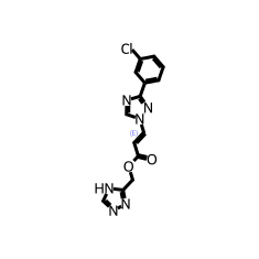 O=C(/C=C/n1cnc(-c2cccc(Cl)c2)n1)OCc1nnc[nH]1